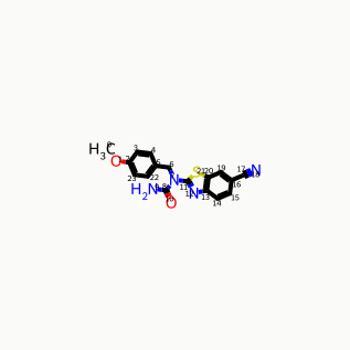 COc1ccc(CN(C(N)=O)c2nc3ccc(C#N)cc3s2)cc1